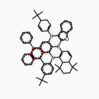 CC(C)(C)c1ccc(N2C3=C(C=CC4C3C(C)(C)CCC4(C)C)B3c4oc5ccccc5c4N(C4=CCC(C(C)(C)C)C=C4)c4cc(N(c5ccccc5)c5ccccc5)cc2c43)c(-c2c#cccc2)c1